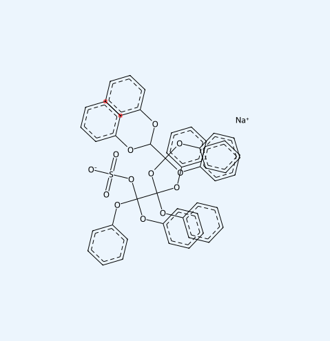 O=S(=O)([O-])OC(Oc1ccccc1)(Oc1ccccc1)C(Oc1ccccc1)(Oc1ccccc1)OC(Oc1ccccc1)(Oc1ccccc1)C(Oc1ccccc1)Oc1ccccc1.[Na+]